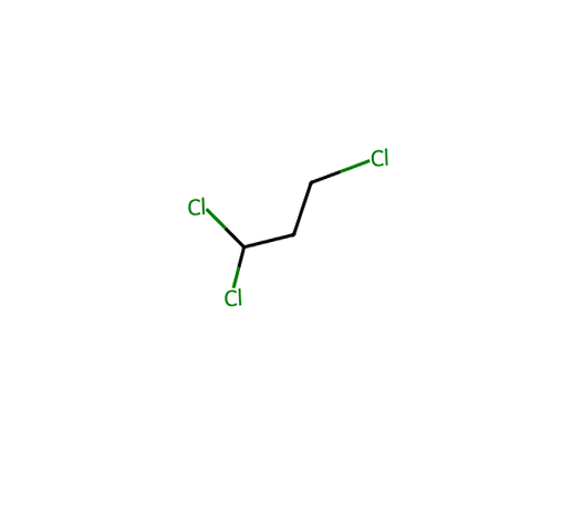 ClCCC(Cl)Cl